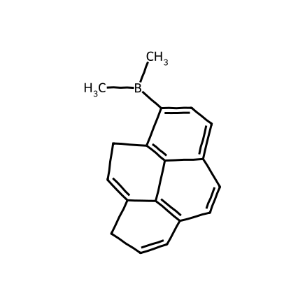 CB(C)c1ccc2ccc3c4c2c1CC=C4CC=C3